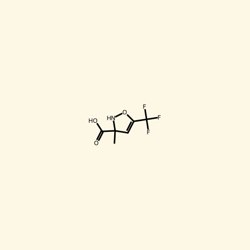 CC1(C(=O)O)C=C(C(F)(F)F)ON1